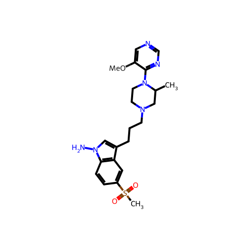 COc1cncnc1N1CCN(CCCc2cn(N)c3ccc(S(C)(=O)=O)cc23)CC1C